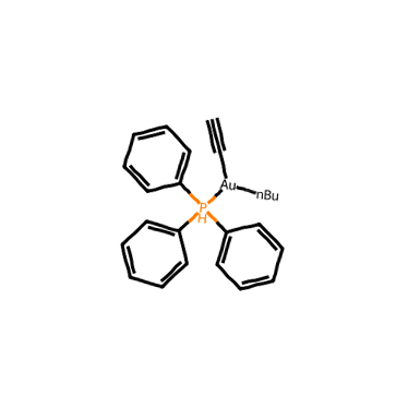 C#[C][Au]([CH2]CCC)[PH](c1ccccc1)(c1ccccc1)c1ccccc1